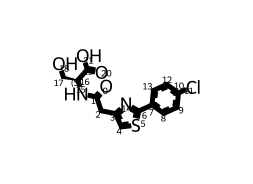 O=C(Cc1csc(-c2ccc(Cl)cc2)n1)N[C@@H](CO)C(=O)O